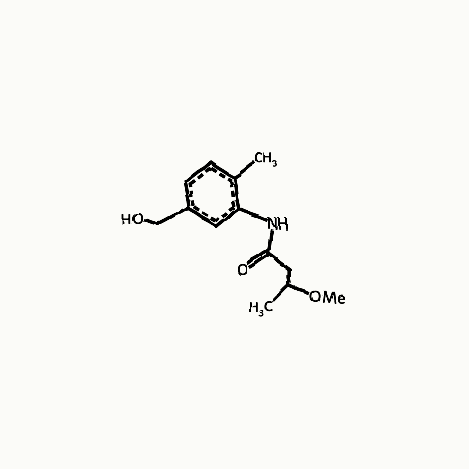 COC(C)CC(=O)Nc1cc(CO)ccc1C